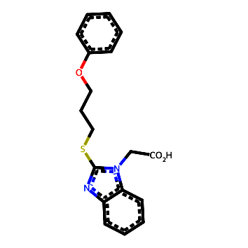 O=C(O)Cn1c(SCCCOc2ccccc2)nc2ccccc21